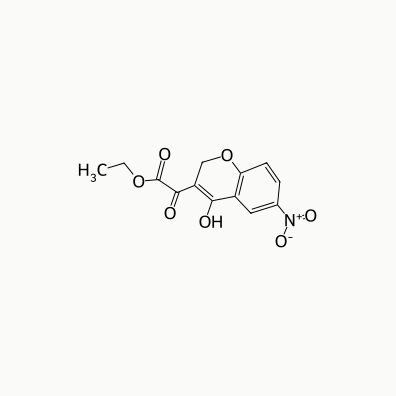 CCOC(=O)C(=O)C1=C(O)c2cc([N+](=O)[O-])ccc2OC1